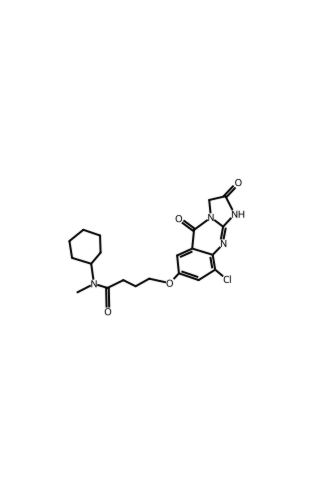 CN(C(=O)CCCOc1cc(Cl)c2nc3n(c(=O)c2c1)CC(=O)N3)C1CCCCC1